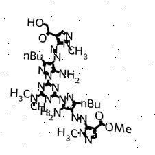 CCCCc1nn(-c2nc(N(C)C)nc(-n3nc(CCCC)c(/N=N/c4c(C(=O)OC)cnn4C)c3N)n2)c(N)c1/N=N/c1c(C(=O)CO)cnn1C